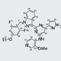 CCOc1cc(F)c(Cn2nc(-c3nc(Nc4ccncc4OC)cc(-c4ccn(C)n4)n3)c3ccccc32)c(F)c1